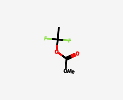 COC(=O)OC(C)(F)F